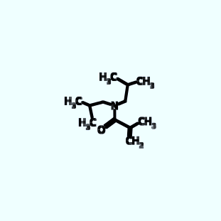 C=C(C)C(=O)N(CC(C)C)CC(C)C